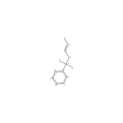 CC=CCC(C)(C)c1ccccc1